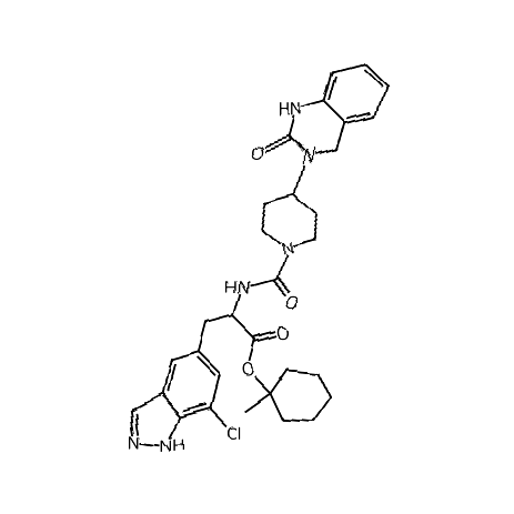 CC1(OC(=O)C(Cc2cc(Cl)c3[nH]ncc3c2)NC(=O)N2CCC(N3Cc4ccccc4NC3=O)CC2)CCCCC1